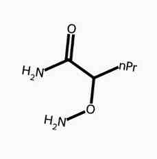 CCCC(ON)C(N)=O